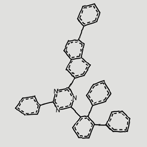 c1ccc(-c2ccc3cc(-c4nc(-c5ccccc5)nc(-c5cccc(-c6ccccc6)c5-c5ccccc5)n4)ccc3c2)cc1